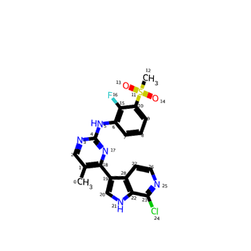 Cc1cnc(Nc2cccc(S(C)(=O)=O)c2F)nc1-c1c[nH]c2c(Cl)nccc12